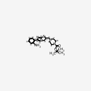 CC(C)(C)OC(=O)N1CCN(CC2Cn3cc(-c4ccccc4N)nc3S2)CC1